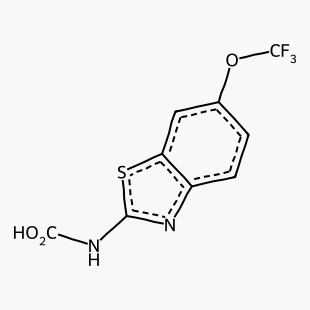 O=C(O)Nc1nc2ccc(OC(F)(F)F)cc2s1